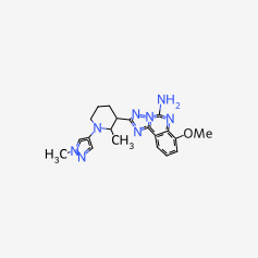 COc1cccc2c1nc(N)n1nc(C3CCCN(c4cnn(C)c4)C3C)nc21